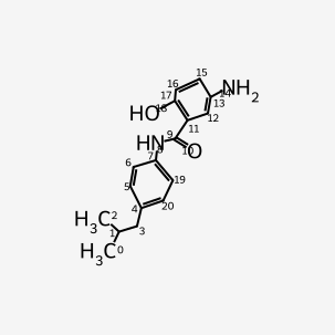 CC(C)Cc1ccc(NC(=O)c2cc(N)ccc2O)cc1